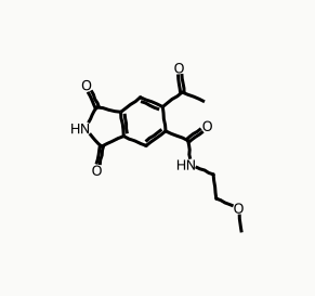 COCCNC(=O)c1cc2c(cc1C(C)=O)C(=O)NC2=O